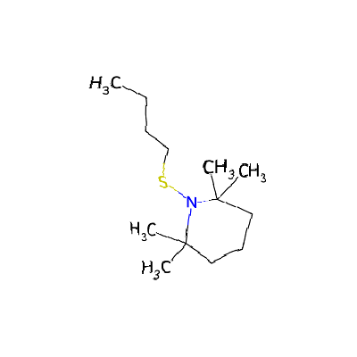 CCCCSN1C(C)(C)CCCC1(C)C